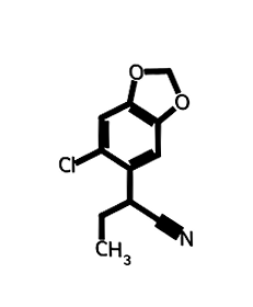 CCC(C#N)c1cc2c(cc1Cl)OCO2